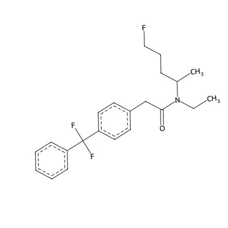 CCN(C(=O)Cc1ccc(C(F)(F)c2ccccc2)cc1)C(C)CCCF